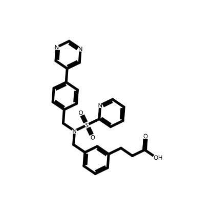 O=C(O)CCc1cccc(CN(Cc2ccc(-c3cncnc3)cc2)S(=O)(=O)c2ccccn2)c1